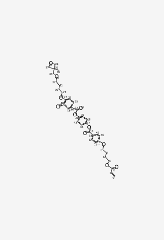 C=CC(=O)OCCCCOc1ccc(C(=O)Oc2ccc(OC(=O)c3ccc(OCCCCOCC4(C)COC4)c(Cl)c3)cc2)cc1